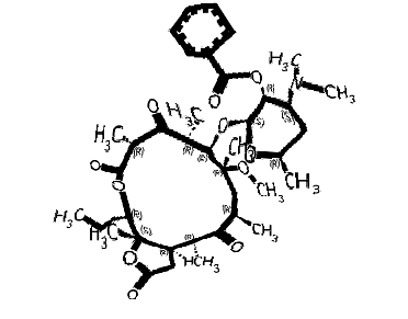 CC[C@H]1OC(=O)[C@H](C)C(=O)[C@H](C)[C@@H](O[C@@H]2O[C@H](C)C[C@H](N(C)C)[C@H]2OC(=O)c2ccccc2)[C@](C)(OC)C[C@@H](C)C(=O)[C@H](C)[C@H]2CC(=O)O[C@@]21C